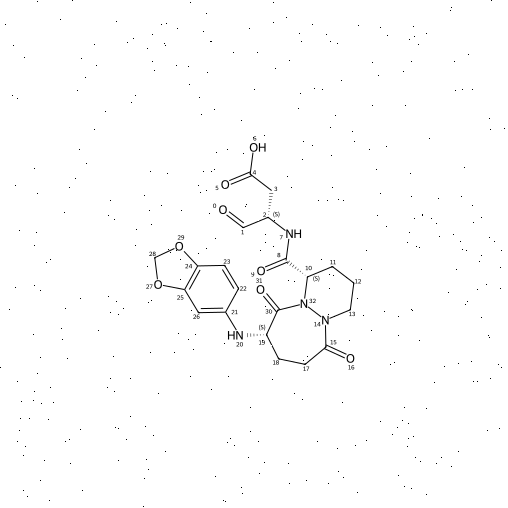 O=C[C@H](CC(=O)O)NC(=O)[C@@H]1CCCN2C(=O)CC[C@H](Nc3ccc4c(c3)OCO4)C(=O)N12